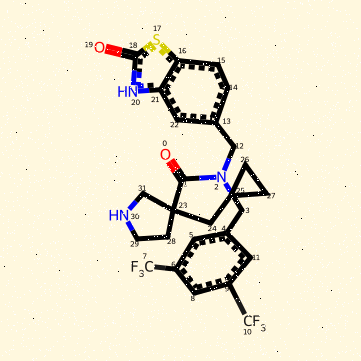 O=C(N(Cc1cc(C(F)(F)F)cc(C(F)(F)F)c1)Cc1ccc2sc(=O)[nH]c2c1)C1(CC2CC2)CCNC1